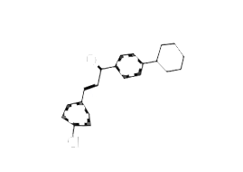 O=C(/C=C/c1ccc(Cl)cc1)c1ccc(C2CCCCC2)cc1